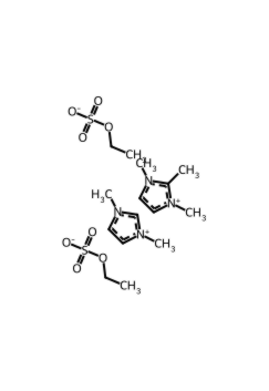 CCOS(=O)(=O)[O-].CCOS(=O)(=O)[O-].Cc1n(C)cc[n+]1C.Cn1cc[n+](C)c1